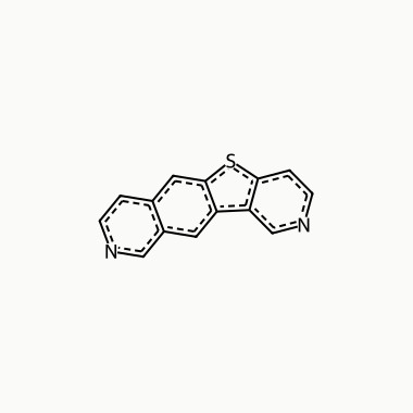 c1cc2cc3sc4ccncc4c3cc2cn1